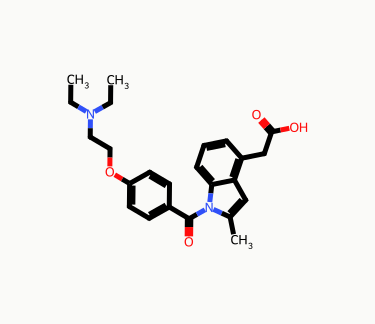 CCN(CC)CCOc1ccc(C(=O)n2c(C)cc3c(CC(=O)O)cccc32)cc1